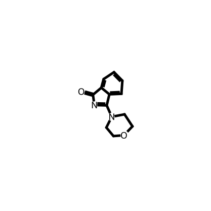 O=C1N=C(N2CCOCC2)c2ccccc21